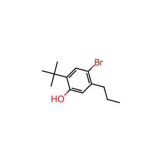 CCCc1cc(O)c(C(C)(C)C)cc1Br